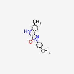 Cc1ccc(-n2nc3c4ccc(C)cc4[nH]cc-3c2=O)cc1